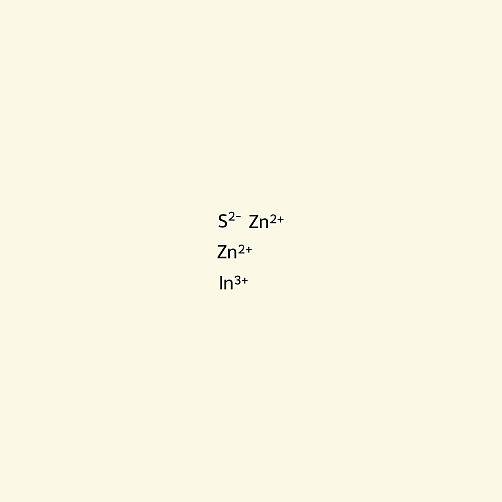 [In+3].[S-2].[Zn+2].[Zn+2]